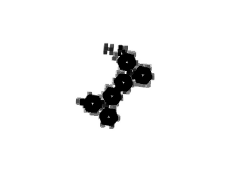 Cc1ccc(N(c2ccccc2)c2ccc(-c3ccc(N(c4ccccc4)c4ccc(N)cc4)cc3)cc2)cc1